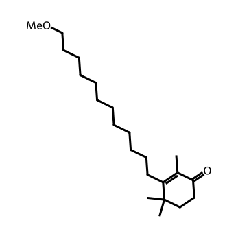 COCCCCCCCCCCCCC1=C(C)C(=O)CCC1(C)C